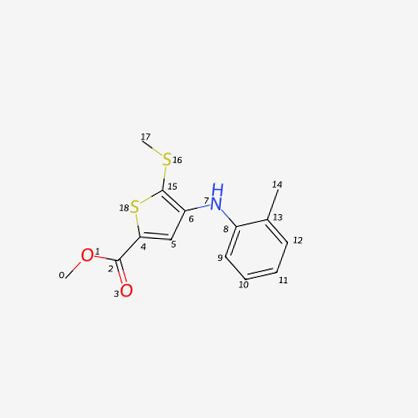 COC(=O)c1cc(Nc2ccccc2C)c(SC)s1